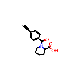 [C]#Cc1ccc(C(=O)N2CCCCC2C(=O)O)cc1